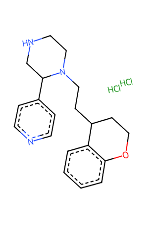 Cl.Cl.c1ccc2c(c1)OCCC2CCN1CCNCC1c1ccncc1